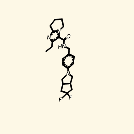 CCc1nc2n(c1C(=O)NCc1ccc(N3CC4CC(F)(F)CC4C3)cc1)CCCC2